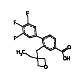 CCC1(Cc2cc(C(=O)O)ccc2-c2cc(F)c(F)c(F)c2)COC1